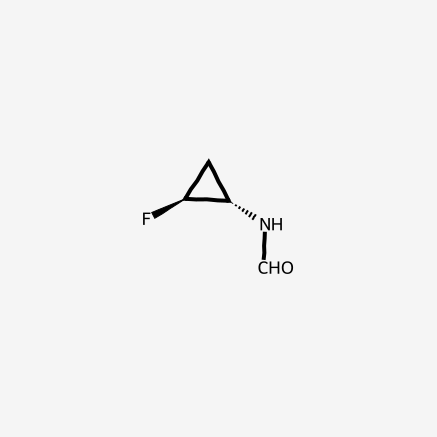 O=CN[C@H]1C[C@@H]1F